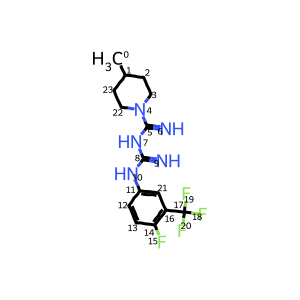 CC1CCN(C(=N)NC(=N)Nc2ccc(F)c(C(F)(F)F)c2)CC1